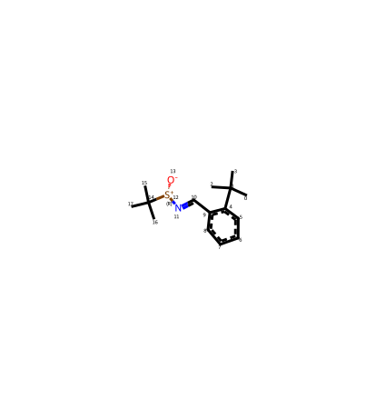 CC(C)(C)c1ccccc1C=N[S@@+]([O-])C(C)(C)C